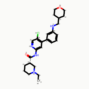 O=C(Nc1cc(-c2cccc(NCC3CCOCC3)c2)c(Cl)cn1)[C@H]1CCCN(CC(F)(F)F)C1